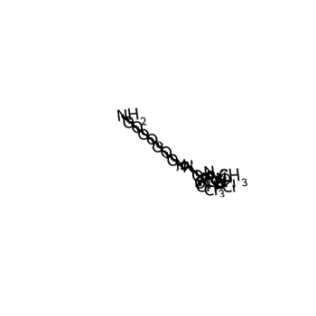 COc1cc(Nc2c(C#N)cnc3cc(OCCCN4CCN(CCOCCOCCOCCOCCOCCOCCOCCN)CC4)c(OC)cc23)c(Cl)cc1Cl